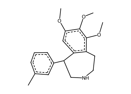 COc1cc2c(c(OC)c1OC)CCNCC2c1cccc(C)c1